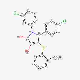 O=C(O)c1ccccc1SC1=C(O)C(=O)N(c2cccc(Cl)c2)C1c1ccc(Cl)cc1